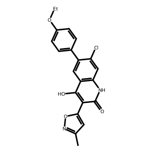 CCOc1ccc(-c2cc3c(O)c(-c4cc(C)no4)c(=O)[nH]c3cc2Cl)cc1